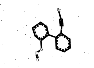 CCC#Cc1ccccc1-c1ccccc1OP=O